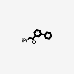 CC(C)CC(=O)c1cccc(-c2ccccc2)c1